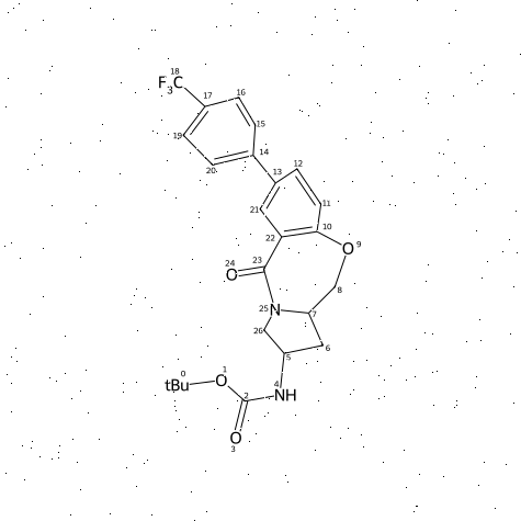 CC(C)(C)OC(=O)NC1CC2COc3ccc(-c4ccc(C(F)(F)F)cc4)cc3C(=O)N2C1